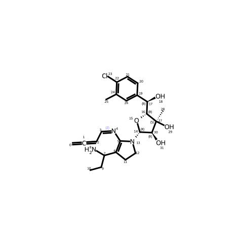 C=C=C/C=N\C1=C(C(N)CC)CCN1[C@@H]1O[C@H]([C@H](O)c2ccc(Cl)c(C)c2)[C@@](C)(O)[C@H]1O